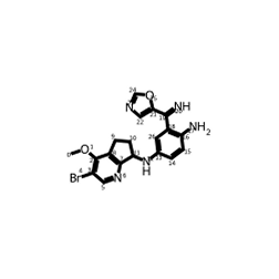 COc1c(Br)cnc2c1CCC2Nc1ccc(N)c(C(=N)c2cnco2)c1